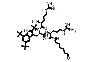 CC(C)(C)c1cc(C(C)(C)C)c2[nH]c(C(C)(C)C)c(C[C@H](NC(=O)[C@@H](N)CCCNC(=N)N)C(=O)N[C@@H](CCCNC(=N)N)C(=O)NCCCCC[C]=O)c2c1